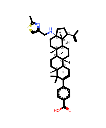 C=C(C)[C@@H]1CC[C@]2(NCc3csc(C)n3)CC[C@]3(C)[C@H](CC[C@@H]4[C@@]5(C)CC=C(c6ccc(C(=O)O)cc6)C(C)(C)[C@@H]5CC[C@]43C)[C@@H]12